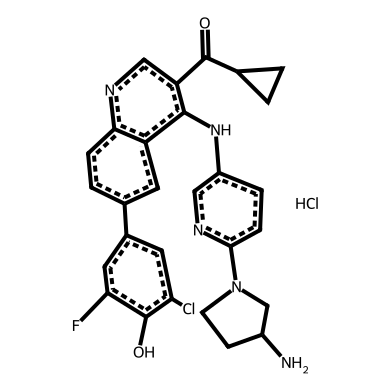 Cl.NC1CCN(c2ccc(Nc3c(C(=O)C4CC4)cnc4ccc(-c5cc(F)c(O)c(Cl)c5)cc34)cn2)C1